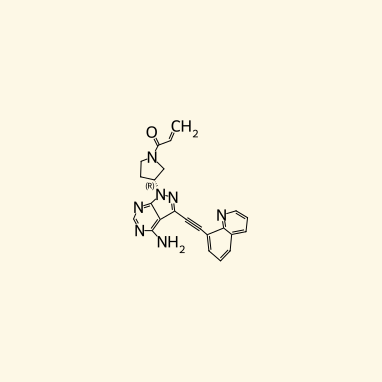 C=CC(=O)N1CC[C@@H](n2nc(C#Cc3cccc4cccnc34)c3c(N)ncnc32)C1